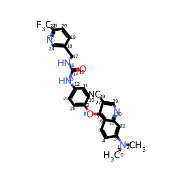 CN(C)c1ccc2c(Oc3ccc(NC(=O)NCc4ccc(C(F)(F)F)nc4)cc3)c(C#N)cnc2c1